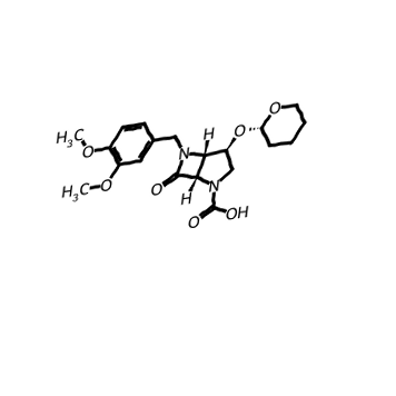 COc1ccc(CN2C(=O)[C@@H]3[C@H]2[C@@H](O[C@H]2CCCCO2)CN3C(=O)O)cc1OC